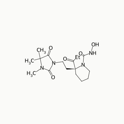 CCC(=O)[C@@]1(CCN2C(=O)N(C)C(C)(C)C2=O)CCCCN1C(=O)NO